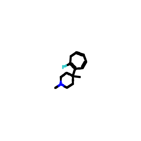 CN1CCC(C)(C2=C(F)CC=CC=C2)CC1